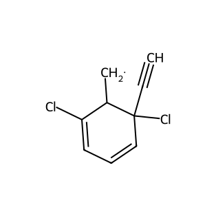 C#CC1(Cl)C=CC=C(Cl)C1[CH2]